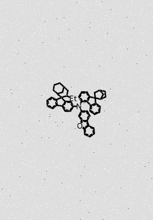 CCC1CC2CCCC(C2)C12c1ccccc1-c1ccc(N(c3ccc4c(c3)oc3ccccc34)c3cccc4c3-c3ccccc3C43CC4CCC3C4)cc12